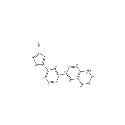 Brc1csc(-c2cncc(-c3ccc4c(c3)OCCN4)n2)c1